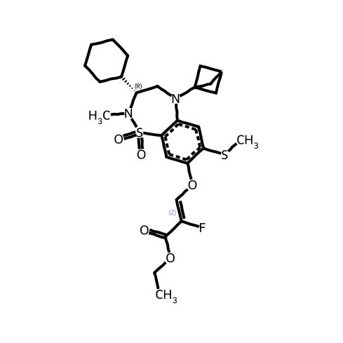 CCOC(=O)/C(F)=C/Oc1cc2c(cc1SC)N(C13CC(C1)C3)C[C@@H](C1CCCCC1)N(C)S2(=O)=O